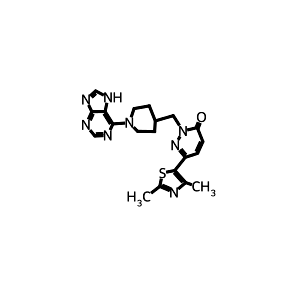 Cc1nc(C)c(-c2ccc(=O)n(CC3CCN(c4ncnc5nc[nH]c45)CC3)n2)s1